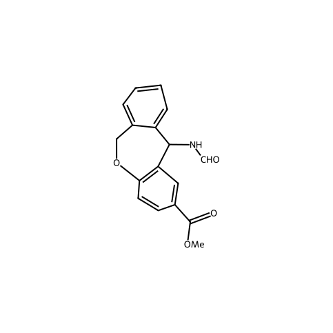 COC(=O)c1ccc2c(c1)C(NC=O)c1ccccc1CO2